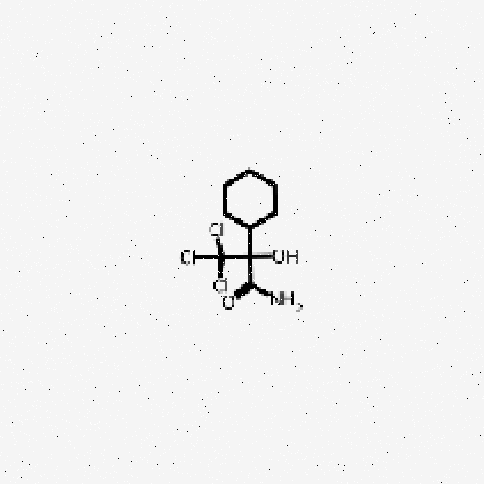 NC(=O)C(O)(C1CCCCC1)C(Cl)(Cl)Cl